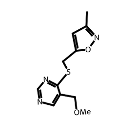 COCc1cncnc1SCc1cc(C)no1